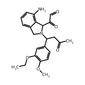 CCOc1cc(C(CC(C)=O)N2Cc3cccc(N)c3C2C(=O)C=O)ccc1OC